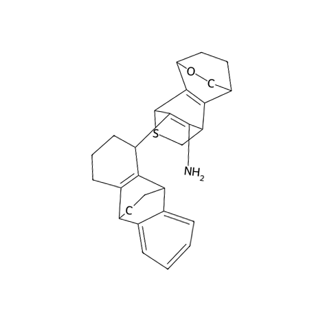 NC1=C(C2CCCC3=C2C2CCC3c3ccccc32)C2SCC1C1=C2C2CCC1CO2